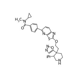 CC(C)C1CNCCC1(CCOc1nc2ccc(-c3ccc(C(=O)N(C)C4CC4)cc3)nc2s1)c1cnno1